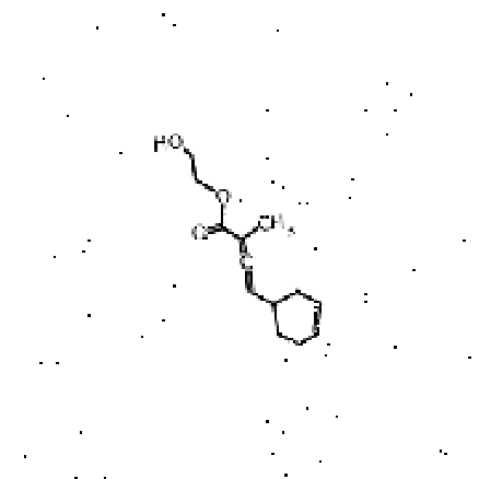 CC(=C=CC1CC=CCC1)C(=O)OCCO